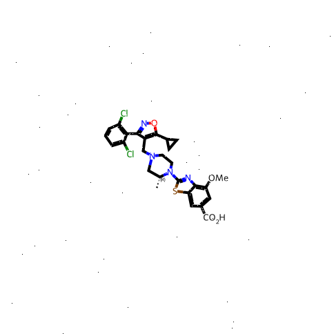 COc1cc(C(=O)O)cc2sc(N3CCN(Cc4c(-c5c(Cl)cccc5Cl)noc4C4CC4)C[C@H]3C)nc12